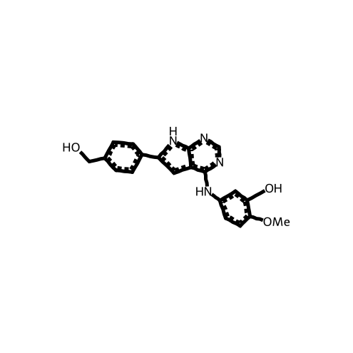 COc1ccc(Nc2ncnc3[nH]c(-c4ccc(CO)cc4)cc23)cc1O